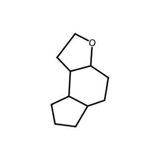 C1CC2CCC3OCCC3C2C1